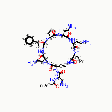 CCCCCCCCCCC(=O)N[C@H](CN)C(=O)N[C@H]1CCNC(=O)[C@H](CC(C)C)NC(=O)[C@H](CCN)NC(=O)[C@H](CCN)NC(=O)[C@H](CC(C)C)NC(=O)[C@@H](CCc2ccccc2)NC(=O)[C@H](CCN)NC1=O